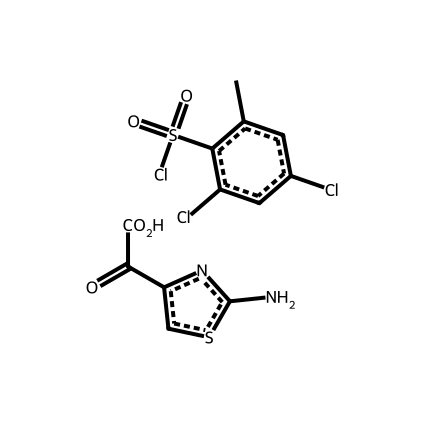 Cc1cc(Cl)cc(Cl)c1S(=O)(=O)Cl.Nc1nc(C(=O)C(=O)O)cs1